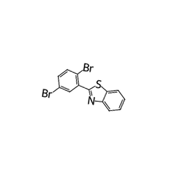 Brc1ccc(Br)c(-c2nc3ccccc3s2)c1